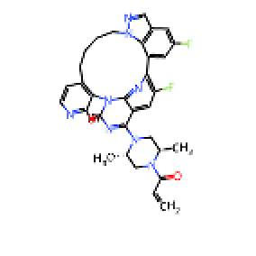 C=CC(=O)N1C[C@H](C)N(c2nc(=O)n3c4nc(c(F)cc24)-c2cc(F)cc4cnn(c24)CCCCc2ccnc(C(C)C)c2-3)C[C@H]1C